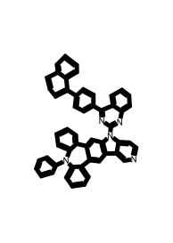 c1ccc(N2c3ccccc3-c3cc4c5cnccc5n(-c5nc(-c6ccc(-c7cccc8ccccc78)cc6)c6ccccc6n5)c4cc3-c3ccccc32)cc1